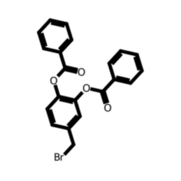 O=C(Oc1ccc(CBr)cc1OC(=O)c1ccccc1)c1ccccc1